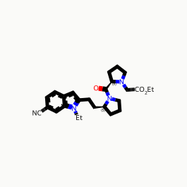 CCOC(=O)CN1CCC[C@@H]1C(=O)N1CCC[C@H]1CCc1cc2ccc(C#N)cc2n1CC